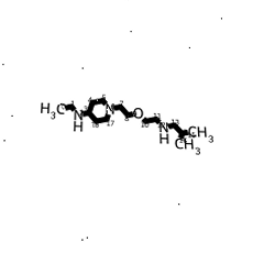 CCNC1CCN(CCOCCNCC(C)C)CC1